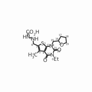 CCn1c(=O)c2c(C)c(CNNC(=O)O)sc2n(CC2CCCO2)c1=O